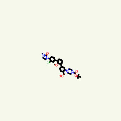 COc1c(-c2ccc(N3CCN(C)C3=O)c(Cl)c2)cccc1-c1ccc(CO)c(N2CCN(C(=O)OC(C)(C)C)CC2)c1